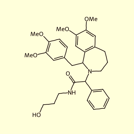 COc1ccc(CC2c3cc(OC)c(OC)cc3CCCN2C(C(=O)NCCCO)c2ccccc2)cc1OC